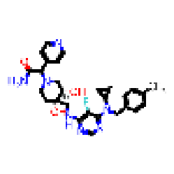 NC(=O)C(c1ccncc1)N1CC[C@](O)(CNc2ncnc(N(Cc3ccc(C(F)(F)F)cc3)C3CC3)c2F)[C@@H](O)C1